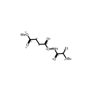 CCCCC(CC)C(=O)NOC(=O)CCC(=O)OC